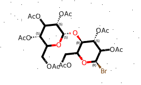 CC(=O)OCC1O[C@@H](O[C@@H]2C(COC(C)=O)O[C@H](Br)C(OC(C)=O)[C@H]2OC(C)=O)[C@@H](OC(C)=O)C(OC(C)=O)[C@H]1OC(C)=O